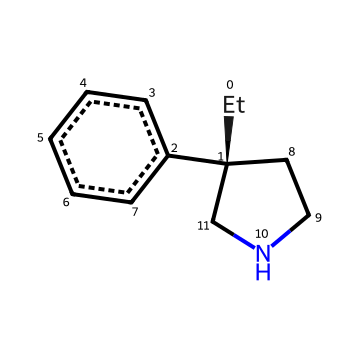 [CH2]C[C@@]1(c2ccccc2)CCNC1